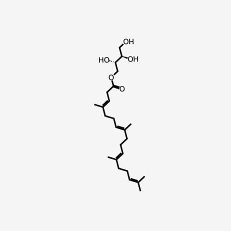 CC(C)=CCCC(C)=CCCC(C)=CCCC(C)=CCC(=O)OC[C@H](O)[C@H](O)CO